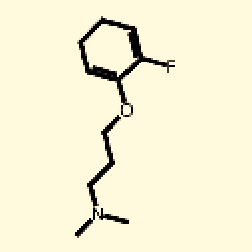 CN(C)CCCOC1=CC[CH]C=C1F